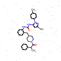 Cc1ccc(-n2nc(C(C)(C)C)cc2NC(=O)Nc2ccccc2CC2CCN(C(=O)C(C)c3ccccc3)CC2)cc1